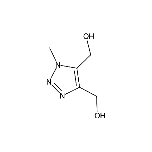 Cn1nnc(CO)c1CO